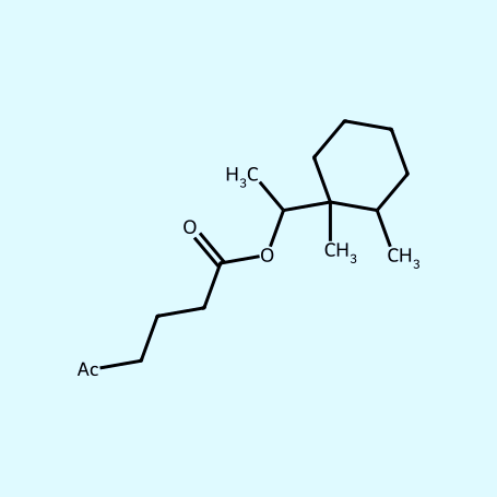 CC(=O)CCCC(=O)OC(C)C1(C)CCCCC1C